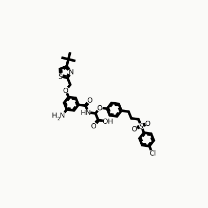 CC(C)(C)c1csc(COc2cc(N)cc(C(=O)NC(Oc3ccc(CCCS(=O)(=O)c4ccc(Cl)cc4)cc3)C(=O)O)c2)n1